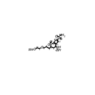 CCCNC1CC(CCCOCCOC)S(=O)(=O)c2sc(S(N)(=O)=O)cc21